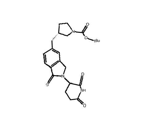 CC(C)(C)OC(=O)N1CC[C@@H](Cc2ccc3c(c2)CN(C2CCC(=O)NC2=O)C3=O)C1